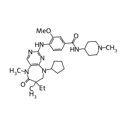 CCC1(C)CN(C2CCCC2)c2nc(Nc3ccc(C(=O)NC4CCN(C)CC4)cc3OC)ncc2N(C)C1=O